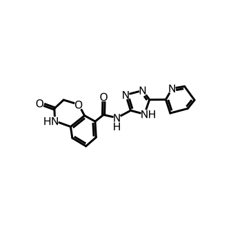 O=C1COc2c(cccc2C(=O)Nc2nnc(-c3ccccn3)[nH]2)N1